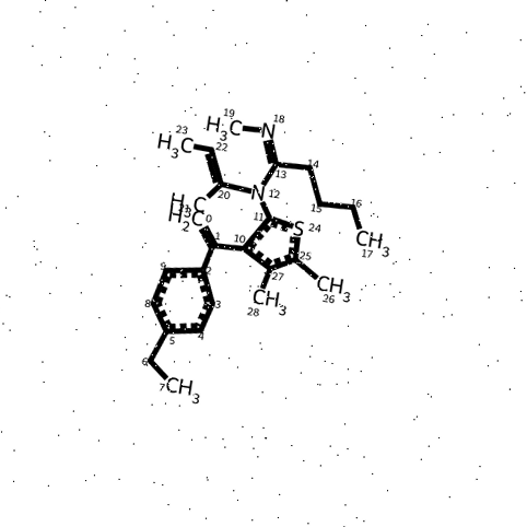 C=C(c1ccc(CC)cc1)c1c(N(/C(CCCC)=N\C)/C(C)=C/C)sc(C)c1C